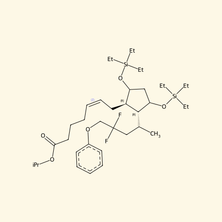 CC[Si](CC)(CC)OC1CC(O[Si](CC)(CC)CC)[C@H](C/C=C\CCCC(=O)OC(C)C)[C@H]1C(C)CC(F)(F)COc1ccccc1